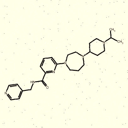 CC(C)N1CCC(N2CCCN(c3cccc(C(=O)NCc4ccncc4)n3)CC2)CC1